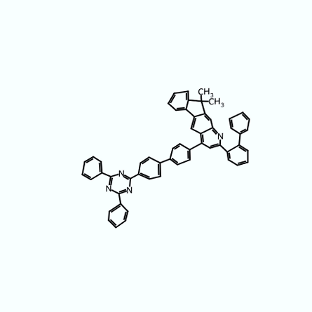 CC1(C)c2ccccc2-c2cc3c(-c4ccc(-c5ccc(-c6nc(-c7ccccc7)nc(-c7ccccc7)n6)cc5)cc4)cc(-c4ccccc4-c4ccccc4)nc3cc21